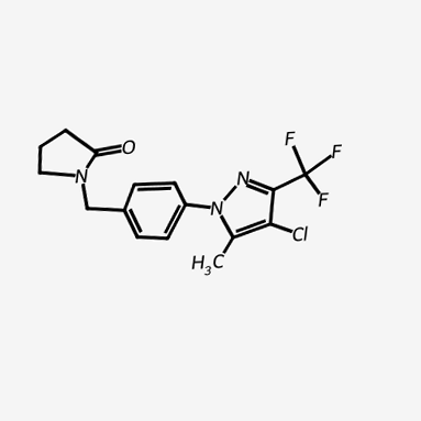 Cc1c(Cl)c(C(F)(F)F)nn1-c1ccc(CN2CCCC2=O)cc1